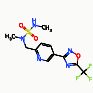 CNS(=O)(=O)N(C)Cc1ccc(-c2noc(C(F)(F)F)n2)cn1